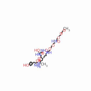 COCCOCCOCC(=O)NCCOCCOCC(=O)NCCCC[C@H](CC(=O)[C@@H](C)NC(=O)[C@@H](N)Cc1ccc(O)cc1)C(=O)CN[C@@H](CO)C(N)=O